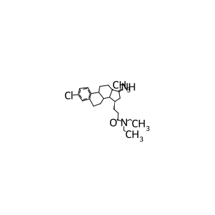 CCN(CC)C(=O)CC[C@@H]1CC(=N)[C@@]2(C)CCC3c4ccc(Cl)cc4CCC3C12